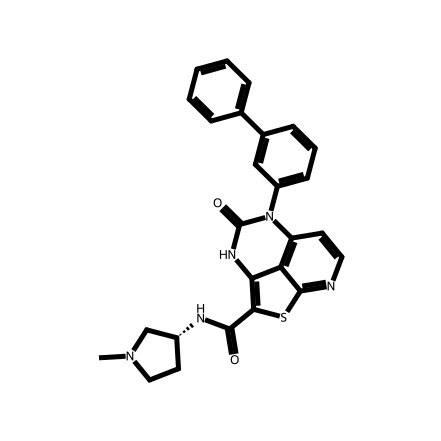 CN1CC[C@@H](NC(=O)c2sc3nccc4c3c2NC(=O)N4c2cccc(-c3ccccc3)c2)C1